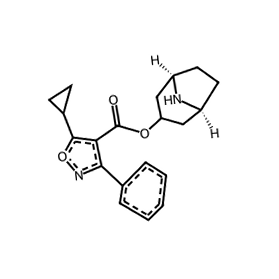 O=C(OC1C[C@H]2CC[C@@H](C1)N2)c1c(-c2ccccc2)noc1C1CC1